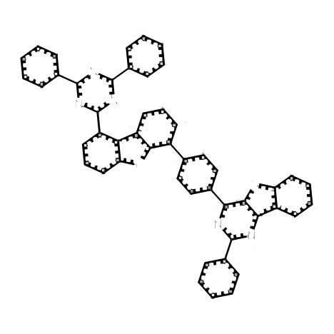 c1ccc(-c2nc(-c3ccccc3)nc(-c3cccc4oc5c(-c6ccc(-c7nc(-c8ccccc8)nc8c7sc7ccccc78)cc6)cccc5c34)n2)cc1